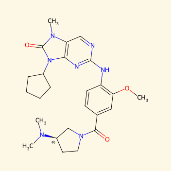 COc1cc(C(=O)N2CC[C@@H](N(C)C)C2)ccc1Nc1ncc2c(n1)n(C1CCCC1)c(=O)n2C